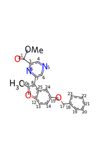 COC(=O)c1cncc(-c2c(C)oc3ccc(OCc4ccccc4)cc23)n1